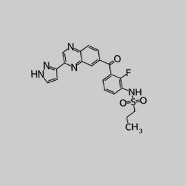 CCCS(=O)(=O)Nc1cccc(C(=O)c2ccc3ncc(-c4cc[nH]n4)nc3c2)c1F